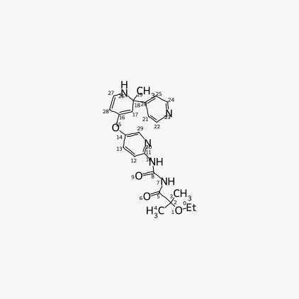 CCOC(C)(C)C(=O)NC(=O)Nc1ccc(OC2=CC(C)(c3ccncc3)NC=C2)cn1